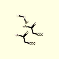 CCCC(=O)CC(=O)[O-].CCCC(=O)CC(=O)[O-].CC[O][Ti+2]